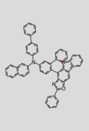 c1ccc(-c2ccc(N(c3ccc(-c4c5nc(-c6ccccc6)oc5cc5c4oc4ccccc45)c(-c4ccccc4)c3)c3ccc4ccccc4c3)cc2)cc1